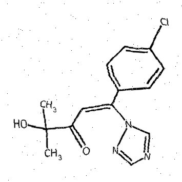 CC(C)(O)C(=O)C=C(c1ccc(Cl)cc1)n1cncn1